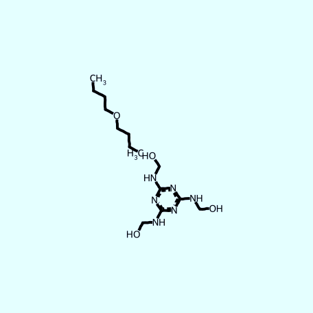 CCCCOCCCC.OCNc1nc(NCO)nc(NCO)n1